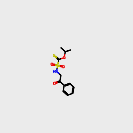 CC(C)OC(=S)S(=O)(=O)NCC(=O)c1ccccc1